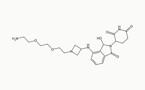 NCCOCCOCCN1CC(Nc2cccc3c2C(O)N(C2CCC(=O)NC2=O)C3=O)C1